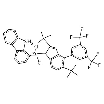 CC(C)(C)C1=Cc2c(ccc(C(C)(C)C)c2-c2cc(C(F)(F)F)cc(C(F)(F)F)c2)[CH]1[Zr]([Cl])([Cl])[c]1cccc2c1[SiH2]c1ccccc1-2